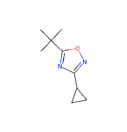 CC(C)(C)c1nc(C2CC2)no1